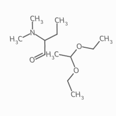 CCC(C=O)N(C)C.CCOC(C)OCC